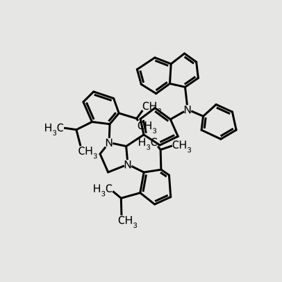 CC(C)c1cccc(C(C)C)c1N1CCN(c2c(C(C)C)cccc2C(C)C)C1c1ccc(N(c2ccccc2)c2cccc3ccccc23)cc1